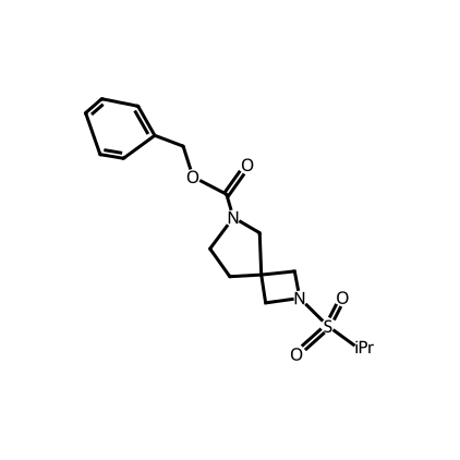 CC(C)S(=O)(=O)N1CC2(CCN(C(=O)OCc3ccccc3)C2)C1